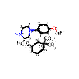 CCCOc1ccc(N2CCNCC2)cc1.C[C@]1(C(=O)O)C=CC=C(C(=O)O)C1